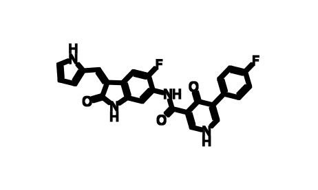 O=C1Nc2cc(NC(=O)c3c[nH]cc(-c4ccc(F)cc4)c3=O)c(F)cc2/C1=C/c1ccc[nH]1